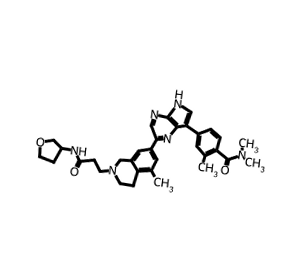 Cc1cc(-c2c[nH]c3ncc(-c4cc(C)c5c(c4)CN(CCC(=O)NC4CCOC4)CC5)nc23)ccc1C(=O)N(C)C